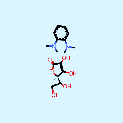 CN(C)c1ccccc1N(C)C.O=C1O[C@H](C(O)CO)C(O)=C1O